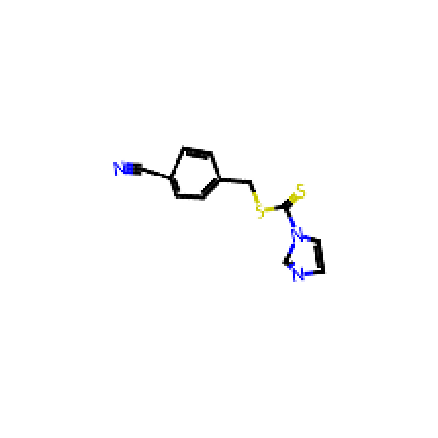 N#Cc1ccc(CSC(=S)n2ccnc2)cc1